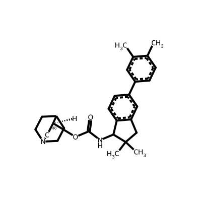 Cc1ccc(-c2ccc3c(c2)CC(C)(C)C3NC(=O)O[C@H]2CN3CCC2CC3)cc1C